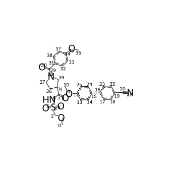 COCS(=O)(=O)NC(=O)C1(COc2ccc(-c3ccc(C#N)cc3)cc2)CCN(C(=O)c2ccc(OC)cc2)C1